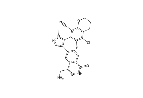 Cn1ncc(-c2ccc3c(=O)[nH]nc(CN)c3c2)c1-c1c(F)c(Cl)c2c(c1C#N)OCCC2